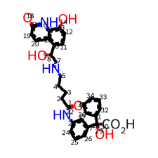 O=C(CCCCNCC(O)c1ccc(O)c2[nH]c(=O)ccc12)Nc1cccc(C(O)(C(=O)O)c2ccccc2)c1